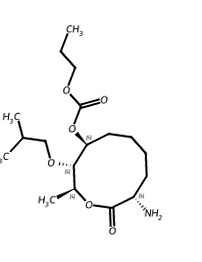 CCCOC(=O)O[C@H]1CCCC[C@H](N)C(=O)O[C@@H](C)[C@@H]1OCC(C)C